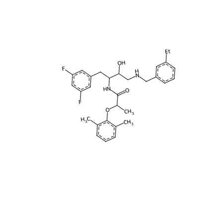 CCc1cccc(CNCC(O)C(Cc2cc(F)cc(F)c2)NC(=O)C(C)Oc2c(C)cccc2C)c1